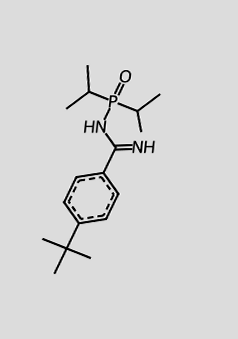 CC(C)P(=O)(NC(=N)c1ccc(C(C)(C)C)cc1)C(C)C